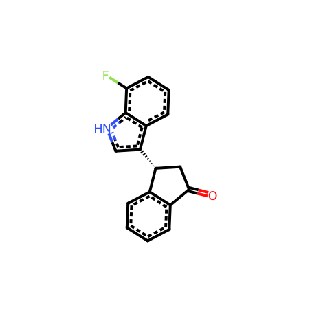 O=C1C[C@@H](c2c[nH]c3c(F)cccc23)c2ccccc21